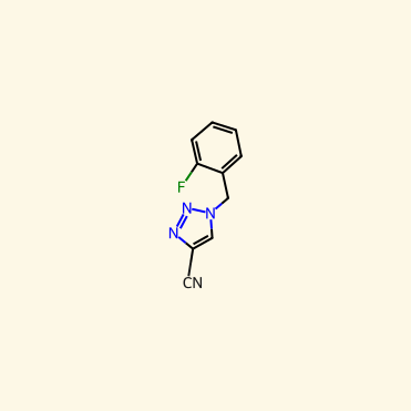 N#Cc1cn(Cc2ccccc2F)nn1